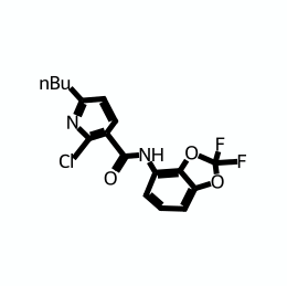 CCCCc1ccc(C(=O)Nc2cccc3c2OC(F)(F)O3)c(Cl)n1